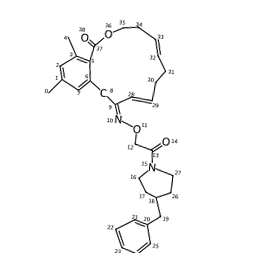 Cc1cc(C)c2c(c1)CC(=N/OCC(=O)N1CCC(Cc3ccccc3)CC1)/C=C/CC/C=C/CCOC2=O